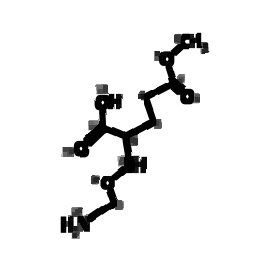 COC(=O)CCC(BOCN)C(=O)O